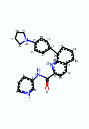 O=C(Nc1cccnc1)c1ccc2cccc(-c3ccc(N4CCCC4)cc3)c2n1